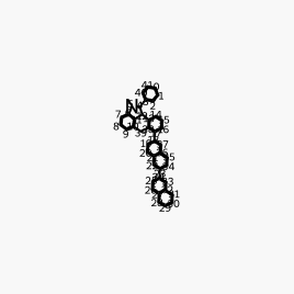 c1ccc(C2=Nc3cccc4c3C2c2cccc(-c3ccc5cc(-c6ccc7ccccc7c6)ccc5c3)c2C4)cc1